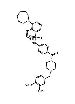 C/C=N\c1c(C2CCCCCC2)cccc1S(=O)(=O)Nc1ccc(C(=O)N2CCN(Cc3ccc(OC)c(OC)c3)CC2)cc1